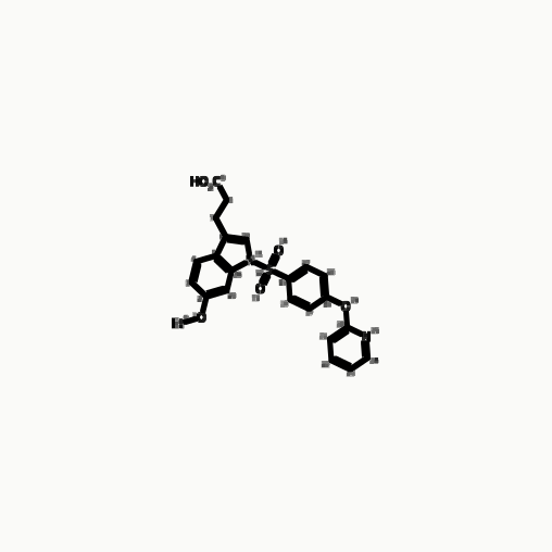 CCOc1ccc2c(CCC(=O)O)cn(S(=O)(=O)c3ccc(Oc4ccccn4)cc3)c2c1